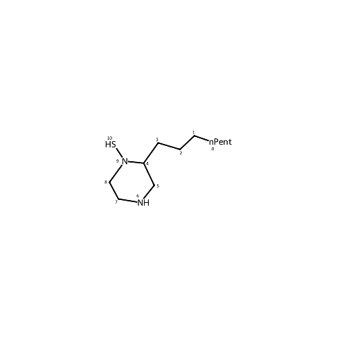 CCCCCCCCC1CNCCN1S